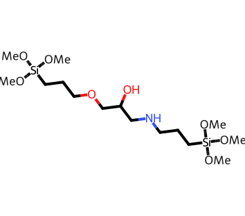 CO[Si](CCCNCC(O)COCCC[Si](OC)(OC)OC)(OC)OC